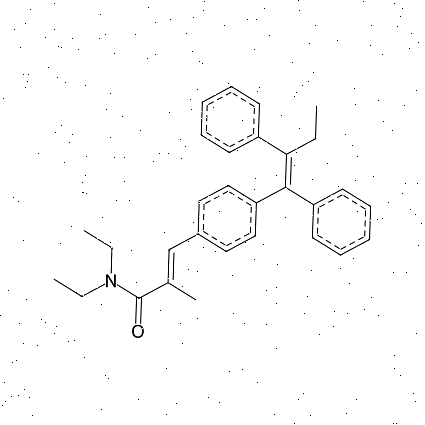 CC/C(=C(\c1ccccc1)c1ccc(/C=C(\C)C(=O)N(CC)CC)cc1)c1ccccc1